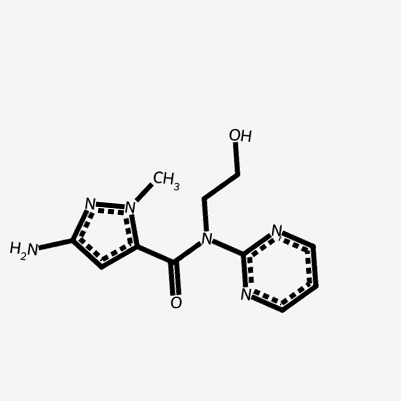 Cn1nc(N)cc1C(=O)N(CCO)c1ncccn1